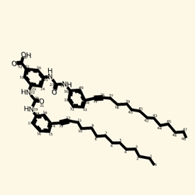 CCCCCCCCCCCCC#Cc1cccc(NC(=O)Nc2cc(NC(=O)Nc3cccc(C#CCCCCCCCCCCCC)c3)cc(C(=O)O)c2)c1